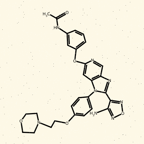 CC(=O)Nc1cccc(Oc2cc3c(cn2)nc(-c2nonc2N)n3-c2ccc(OCCN3CCOCC3)cc2)c1